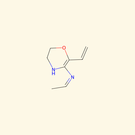 C=CC1=C(/N=C\C)NCCO1